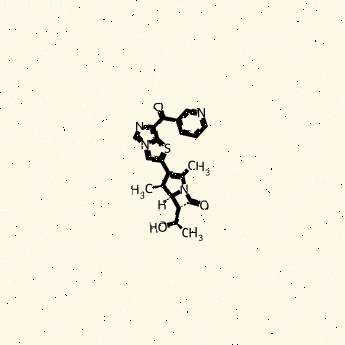 CC1=C(c2cn3cnc(C(=O)c4cccnc4)c3s2)[C@H](C)[C@@H]2[C@@H]([C@@H](C)O)C(=O)N12